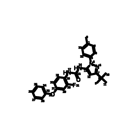 Cc1ccc(-n2nc(C(C)(C)C)cc2NC(=O)Nc2ccc(Oc3ccccc3)cc2F)cc1